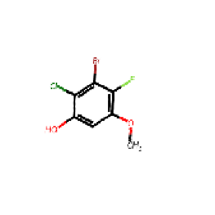 COc1cc(O)c(Cl)c(Br)c1F